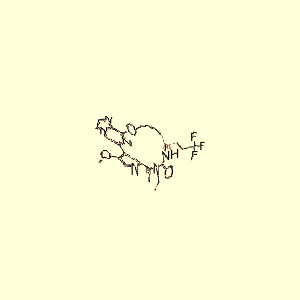 CCN1C(=O)N[C@@H](CCC(F)(F)F)CCCCOc2nc(cn3ccnc23)-c2cc(ncc2OC)[C@@H]1C